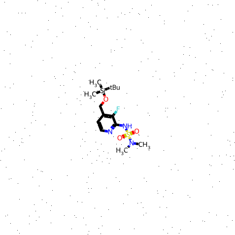 CN(C)S(=O)(=O)Nc1nccc(CO[Si](C)(C)C(C)(C)C)c1F